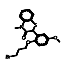 COc1ccc(OCCCBr)c(C2Sc3ccccc3N(C)C2=O)c1